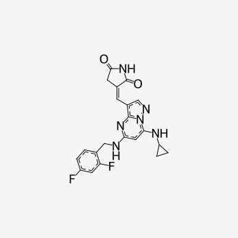 O=C1CC(=Cc2cnn3c(NC4CC4)cc(NCc4ccc(F)cc4F)nc23)C(=O)N1